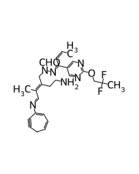 C/C=C\C(=N/N(C=O)C/C(CCN)=C(C)/C=N/C1=CC=CCC#C1)c1cnc(OCC(C)(F)F)nc1